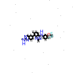 CNc1ncc2cc(-c3c(C)ccc4c(Nc5cccc(OC(F)(F)F)c5)nc(C)nc34)ccc2n1